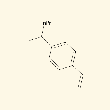 C=Cc1ccc(C(F)CCC)cc1